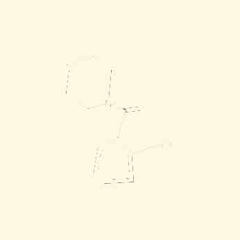 CC(C)c1ccccc1C(=O)N1CCOCC1